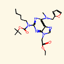 CCCCCN(C(=O)OC(C)(C)C)c1nc(N(C)Cc2ccco2)c2ncn(CC(=O)OCC)c2n1